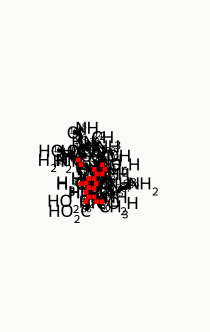 CSCC[C@H](NC(=O)[C@@H](N)CO)C(=O)N[C@@H](CCC(N)=O)C(=O)N[C@@H](C)C(=O)N[C@@H](CO)C(=O)N[C@@H](CC(C)C)C(=O)N[C@@H](CCC(=O)O)C(=O)N[C@@H](C)C(=O)N[C@@H](CCC(=O)O)C(=O)N[C@@H](C)C(=O)N[C@@H](CCCCN)C(=O)N[C@@H](C)C(=O)N[C@@H](CCCCN)C(=O)N[C@@H](C)C(=O)N[C@@H](CCC(=O)O)C(=O)O